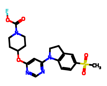 CS(=O)(=O)c1ccc2c(c1)CCN2c1cc(OC2CCN(C(=O)OF)CC2)ncn1